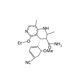 CCOc1ncc(C)c2c1[C@@H](C1=CC=C(C#N)CC1OC)C(C(N)=O)C(C)N2